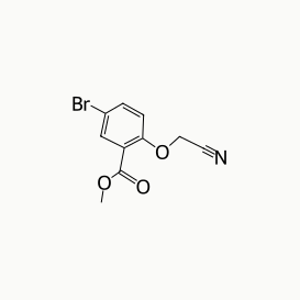 COC(=O)c1cc(Br)ccc1OCC#N